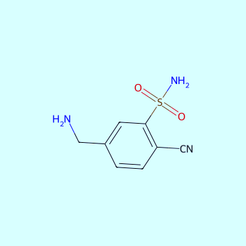 N#Cc1ccc(CN)cc1S(N)(=O)=O